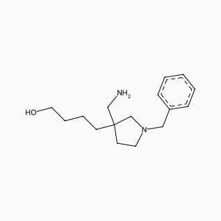 NCC1(CCCCO)CCN(Cc2ccccc2)C1